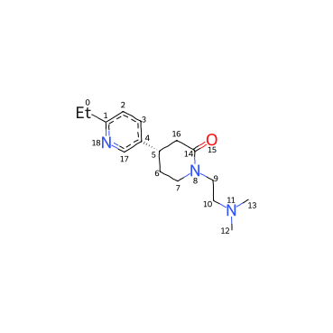 CCc1ccc([C@H]2CCN(CCN(C)C)C(=O)C2)cn1